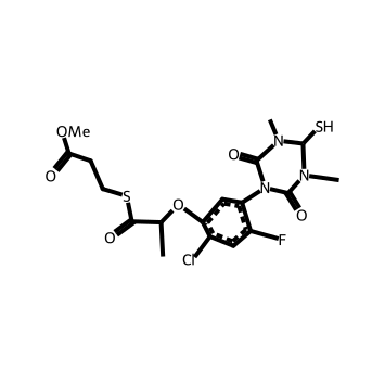 COC(=O)CCSC(=O)C(C)Oc1cc(N2C(=O)N(C)C(S)N(C)C2=O)c(F)cc1Cl